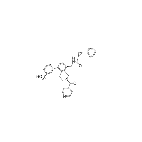 O=C(O)c1cccc(-c2ccc(CNC(=O)C3CC3c3ccccc3)c3c2CCN(C(=O)c2ccncc2)C3)c1